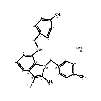 Cc1ccc(CNc2nccc3c(C)c(C)n(Cc4ccc(C)cc4)c23)cc1.Cl